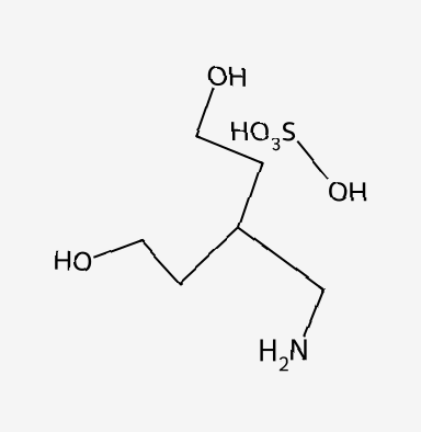 NCC(CCO)CCO.O=S(=O)(O)O